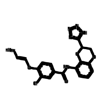 CCCCCCC=COc1ccc(C(=O)Nc2cccc3c2OC(c2nnn[nH]2)CO3)cc1Cl